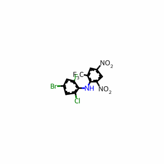 O=[N+]([O-])c1cc([N+](=O)[O-])c(Nc2c(F)cc(Br)cc2Cl)c(C(F)(F)F)c1